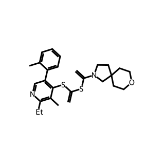 C=C(SC(=C)N1CCC2(CCOCC2)C1)Sc1c(-c2ccccc2C)cnc(CC)c1C